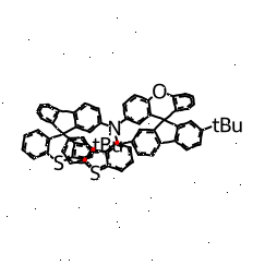 CC(C)(C)c1ccc2c(c1)C1(c3ccccc3Oc3ccc(N(c4ccc5c(c4)C4(c6ccccc6Sc6ccccc64)c4ccccc4-5)c4cccc5sc6ccccc6c45)cc31)c1cc(C(C)(C)C)ccc1-2